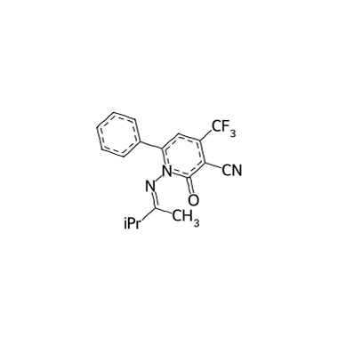 C/C(=N\n1c(-c2ccccc2)cc(C(F)(F)F)c(C#N)c1=O)C(C)C